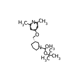 Cc1cc(OC[C@H]2CCCN(C(=O)OC(C)(C)C)C2)cc(C)n1